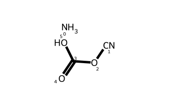 N.N#COC(=O)O